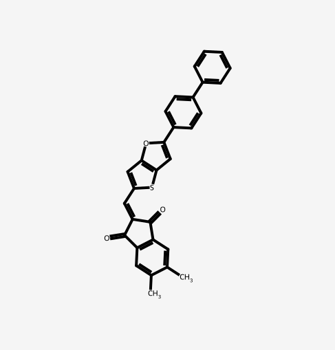 Cc1cc2c(cc1C)C(=O)C(=Cc1cc3oc(-c4ccc(-c5ccccc5)cc4)cc3s1)C2=O